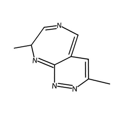 Cc1cc2c(nn1)=NC(C)C=NC=2